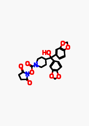 O=C(ON1C(=O)CCC1=O)N1CCC(C(O)(c2ccc3c(c2)OCO3)c2ccc3c(c2)OCO3)CC1